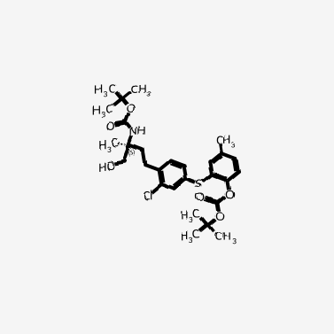 Cc1ccc(OC(=O)OC(C)(C)C)c(Sc2ccc(CC[C@@](C)(CO)NC(=O)OC(C)(C)C)c(Cl)c2)c1